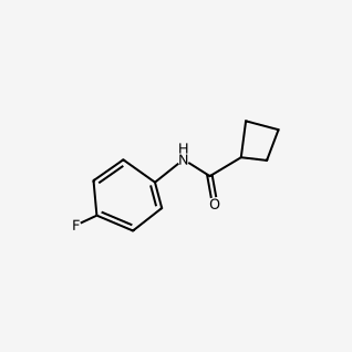 O=C(Nc1ccc(F)cc1)C1CCC1